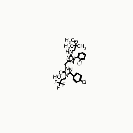 COC(C)(C)CNc1nc(Cn2nc(-c3ccc(Cl)cc3)n(C[C@H](O)C(F)(F)F)c2=O)nn1-c1ccccc1Cl